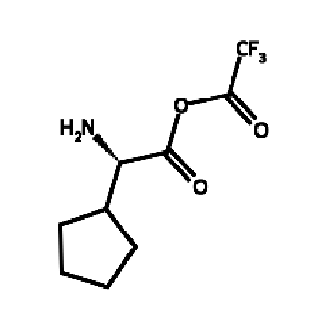 N[C@H](C(=O)OC(=O)C(F)(F)F)C1CCCC1